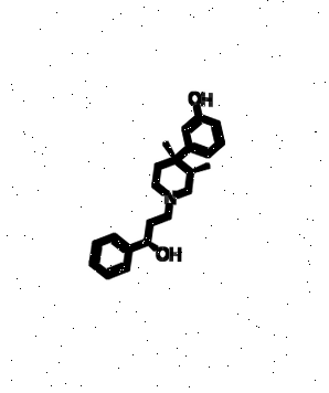 C[C@H]1CN(CC[C@@H](O)c2ccccc2)CC[C@]1(C)c1cccc(O)c1